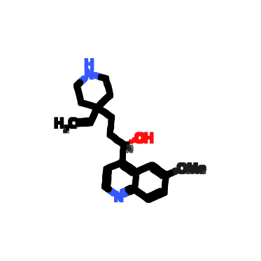 C=CC1(CC[C@H](O)c2ccnc3ccc(OC)cc23)CCNCC1